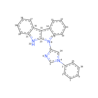 c1ccc(-n2cnc(-n3c4ccccc4c4c5ccccc5[nH]c43)c2)cc1